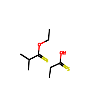 CCC(O)=S.CCOC(=S)C(C)C